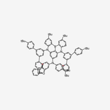 CC(C)(C)c1ccc(-c2cc(-c3ccc(C(C)(C)C)cc3)cc(N3c4ccc(C(C)(C)C)cc4B4c5cc(C(C)(C)C)ccc5N(c5cc(-c6ccc(C(C)(C)C)cc6)cc(-c6ccc(C(C)(C)C)cc6)c5)c5cc(N(c6ccc(C(C)(C)C)cc6)c6ccc7c(c6)oc6ccccc67)cc3c54)c2)cc1